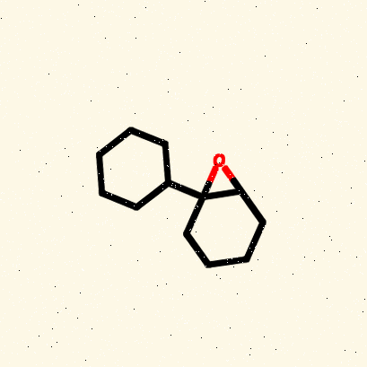 C1CCC(C23CCCCC2O3)CC1